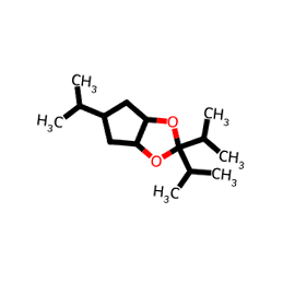 CC(C)C1CC2OC(C(C)C)(C(C)C)OC2C1